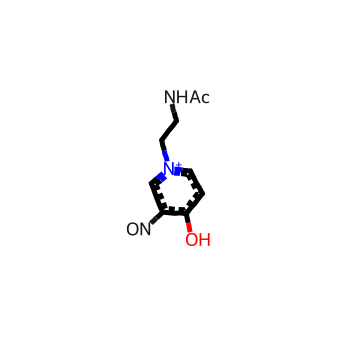 CC(=O)NCC[n+]1ccc(O)c(N=O)c1